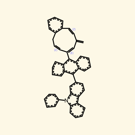 C=C1/C=C\c2ccccc2C/C=C\C(c2c3ccccc3c(-c3ccc4c5ccccc5n(-c5ccccc5)c4c3)c3ccccc23)=C/1